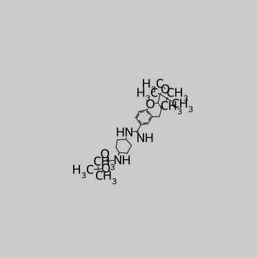 CO[C@@](C)([C@H]1CCc2cc(C(=N)N[C@H]3CC[C@H](NC(=O)OC(C)(C)C)CC3)ccc2O1)C(C)(C)C